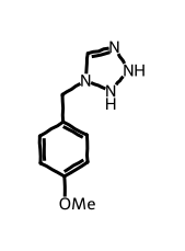 COc1ccc(CN2C=NNN2)cc1